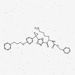 NCCCCC(NC(=O)OCc1ccccc1)C(=O)c1noc(C2(c3ccc(OCCCc4ccccc4)cc3)CC2)n1